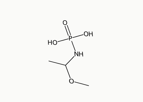 COC(C)NP(=O)(O)O